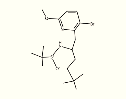 COc1ccc(Br)c(CC(CCC(C)(C)C)N[S+]([O-])C(C)(C)C)n1